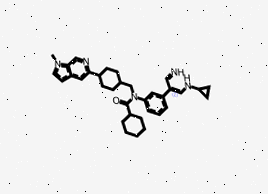 Cn1ccc2cc(C3CCC(CN(C(=O)C4CCCCC4)c4cccc(/C(C=N)=C/NC5CC5)c4)CC3)ncc21